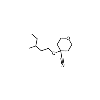 CCC(C)CCOC1(C#N)CCOCC1